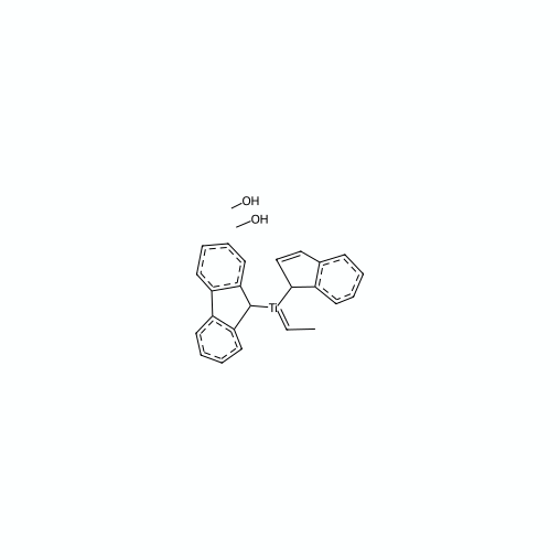 C/[CH]=[Ti](\[CH]1C=Cc2ccccc21)[CH]1c2ccccc2-c2ccccc21.CO.CO